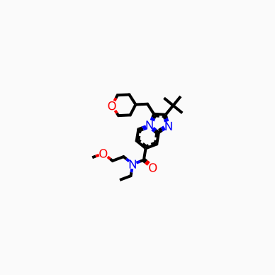 CCN(CCOC)C(=O)c1ccn2c(CC3CCOCC3)c(C(C)(C)C)nc2c1